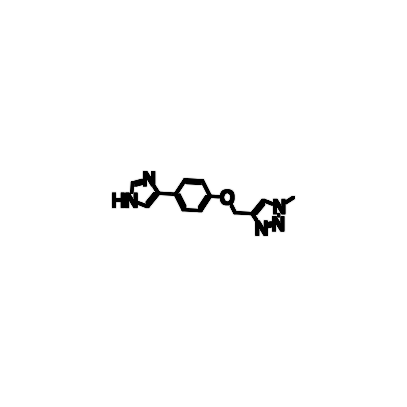 Cn1cc(COc2ccc(-c3c[nH]cn3)cc2)nn1